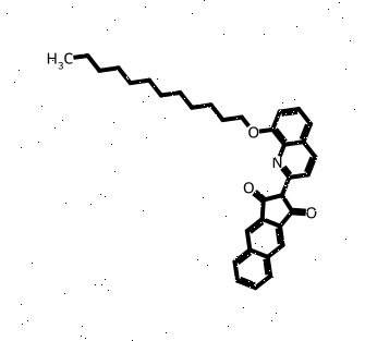 CCCCCCCCCCCCOc1cccc2ccc(C3C(=O)c4cc5ccccc5cc4C3=O)nc12